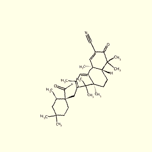 CC(=O)/C=C1/[C@@]2(C)C=C(C#N)C(=O)C(C)(C)[C@@H]2CC[C@@]1(C)C(C)(C)CC[C@@]1(C(=O)F)CCC(C)(C)CC1C